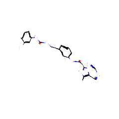 CC1=C2C=NC=C[N+]2(N)C(C(=O)Nc2cccc(CNC(=O)Nc3cccc(F)c3)c2)=N1